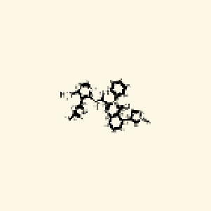 CCC(Nc1ncnc(N)c1-c1nnc(C)o1)c1nc2cccc(-c3cnn(C)c3)c2c(=O)n1-c1ccccc1